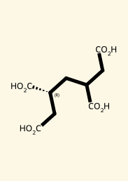 O=C(O)CC(C[C@H](CC(=O)O)C(=O)O)C(=O)O